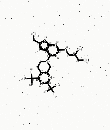 CCc1cc2c(N3CCc4c(nc(C(F)(F)F)nc4C(F)(F)F)C3)nc(OCC(O)CO)nc2s1